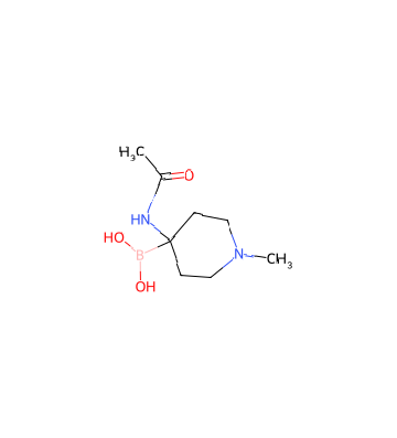 CC(=O)NC1(B(O)O)CCN(C)CC1